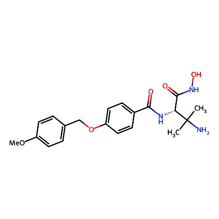 COc1ccc(COc2ccc(C(=O)N[C@H](C(=O)NO)C(C)(C)N)cc2)cc1